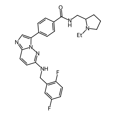 CCN1CCCC1CNC(=O)c1ccc(-c2cnc3ccc(NCc4cc(F)ccc4F)nn23)cc1